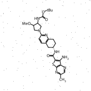 COC1CN(c2ccc3c(n2)CC[C@H](NC(=O)c2sc4nc(C)cnc4c2N)C3)CC1NC(=O)OC(C)(C)C